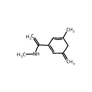 C=C1C=C(C(=C)NC)C=C(C)C1